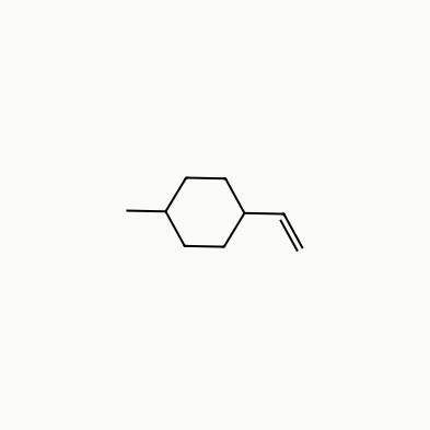 C=CC1CCC(C)CC1